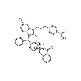 O=Cc1ccccc1CS(=O)(=O)NCCc1c(CCCc2ccc(C(=O)O)cc2)c2cc(Cl)ccc2n1C(c1ccccc1)c1ccccc1